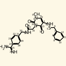 Cn1cc(NSCc2ccccc2)c(=O)n(CC(=O)NCc2ccc(C(=N)N)cc2)c1=O